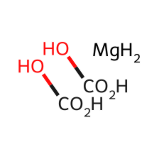 O=C(O)O.O=C(O)O.[MgH2]